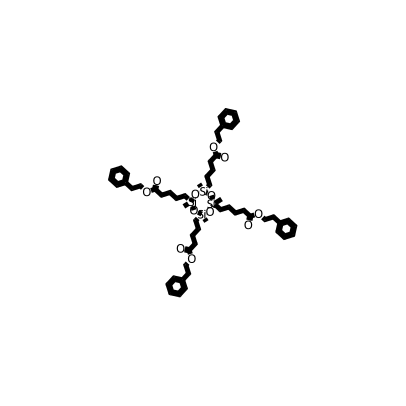 C[Si]1(CCCCC(=O)OCCc2ccccc2)O[Si](C)(CCCCC(=O)OCCc2ccccc2)O[Si](C)(CCCCC(=O)OCCc2ccccc2)O[Si](C)(CCCCC(=O)OCCc2ccccc2)O1